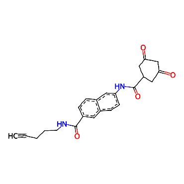 C#CCCCNC(=O)c1ccc2cc(NC(=O)C3CC(=O)CC(=O)C3)ccc2c1